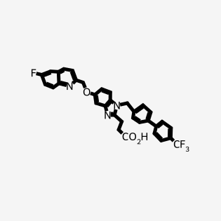 O=C(O)CCc1nc2cc(OCc3ccc4cc(F)ccc4n3)ccc2n1Cc1ccc(-c2ccc(C(F)(F)F)cc2)cc1